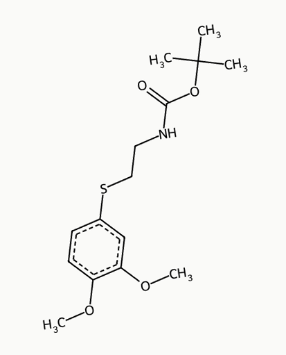 COc1ccc(SCCNC(=O)OC(C)(C)C)cc1OC